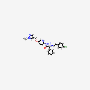 Cn1cc(COc2ccc(NC(=O)C(NCCc3ccc(Cl)cc3)c3ccccc3)nc2)cn1